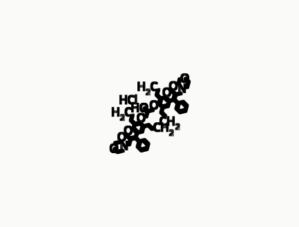 C=CCc1cc2c(-c3ccccc3)c(CN3CCOCC3)c(=O)oc2c(CC=C)c1OCC(O)COc1c(CC=C)cc2c(-c3ccccc3)c(CN3CCOCC3)c(=O)oc2c1CC=C.Cl